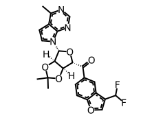 Cc1ncnc2c1ccn2[C@@H]1O[C@H](C(=O)c2ccc3occ(C(F)F)c3c2)[C@H]2OC(C)(C)O[C@H]21